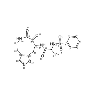 CC(C)C(NS(=O)(=O)c1ccccc1)C(=O)NC1Cc2oncc2CCNC(=O)C1=O